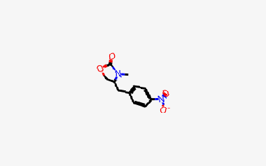 CN1C(=O)OCC1Cc1ccc([N+](=O)[O-])cc1